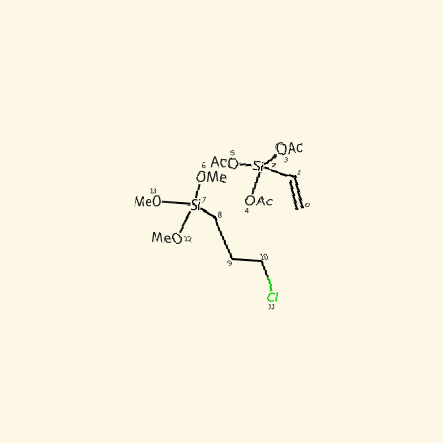 C=C[Si](OC(C)=O)(OC(C)=O)OC(C)=O.CO[Si](CCCCl)(OC)OC